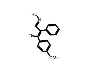 COc1ccc(C(Cl)=C(C=NO)c2ccccc2)cc1